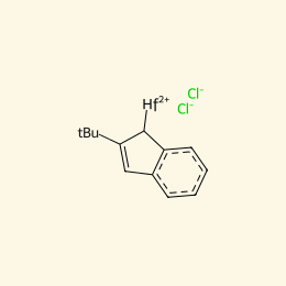 CC(C)(C)C1=Cc2ccccc2[CH]1[Hf+2].[Cl-].[Cl-]